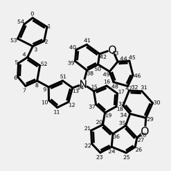 c1ccc(-c2cccc(-c3cccc(N(c4cccc(-c5cccc6ccc7oc8ccccc8c7c56)c4)c4cccc5oc6ccccc6c45)c3)c2)cc1